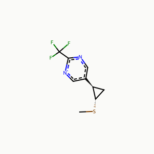 CS[C@H]1C[C@@H]1c1cnc(C(F)(F)F)nc1